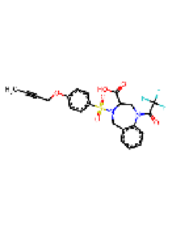 CC#CCOc1ccc(S(=O)(=O)N2Cc3ccccc3N(C(=O)C(F)(F)F)CC2C(=O)O)cc1